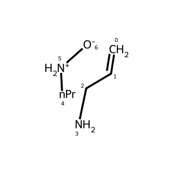 C=CCN.CCC[NH2+][O-]